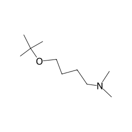 CN(C)CCCCOC(C)(C)C